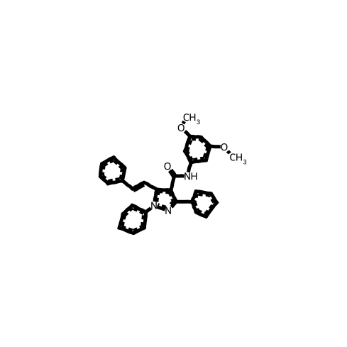 COc1cc(NC(=O)c2c(-c3ccccc3)nn(-c3ccccc3)c2/C=C/c2ccccc2)cc(OC)c1